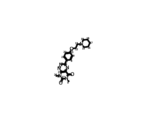 Cn1c(=O)c2nc(-c3ccc(OCCN4CCCCC4)cc3)nnc2n(C)c1=O